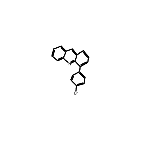 Brc1ccc(-c2cccc3cc4ccccc4nc23)cc1